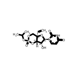 C=C[C@@]12COP(=O)(OC(C)C)O[C@H]1[C@@H](O)[C@H](n1ccc(=O)[nH]c1=O)O2